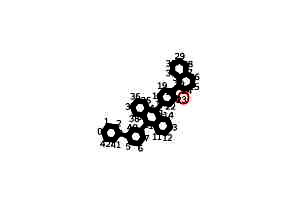 c1ccc(-c2cccc(-c3c4ccccc4c(-c4ccc5c(c4)oc4ccc6ccccc6c45)c4ccccc34)c2)cc1